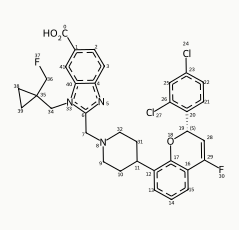 O=C(O)c1ccc2nc(CN3CCC(c4cccc5c4O[C@H](c4ccc(Cl)cc4Cl)C=C5F)CC3)n(CC3(CF)CC3)c2c1